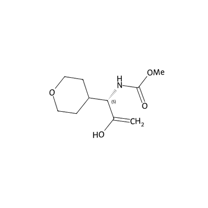 C=C(O)[C@@H](NC(=O)OC)C1CCOCC1